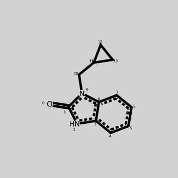 O=c1[nH]c2ccccc2n1CC1CC1